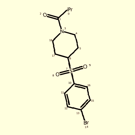 CC(C)C(=O)N1CCC(S(=O)(=O)c2ccc(Br)cc2)CC1